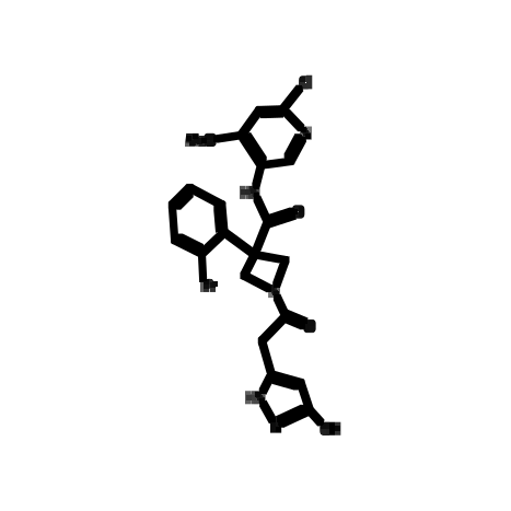 COc1cc(Cl)ncc1NC(=O)C1(c2ccccc2C(C)C)CN(C(=O)Cc2cc(O)n[nH]2)C1